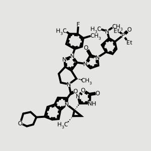 CCP(=O)(CC)c1ccc(-n2ccn(-c3c4c(nn3-c3cc(C)c(F)c(C)c3)CCN(C(=O)c3cc5cc(C6CCOCC6)ccc5n3[C@@]3(c5noc(=O)[nH]5)C[C@@H]3C)[C@H]4C)c2=O)cc1N(C)C